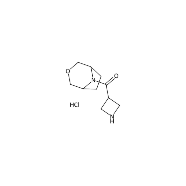 Cl.O=C(C1CNC1)N1C2CCC1COC2